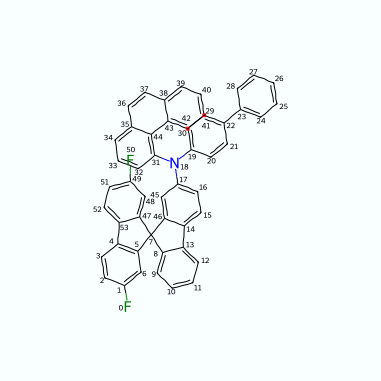 Fc1ccc2c(c1)C1(c3ccccc3-c3ccc(N(c4ccc(-c5ccccc5)cc4)c4cccc5ccc6ccccc6c45)cc31)c1cc(F)ccc1-2